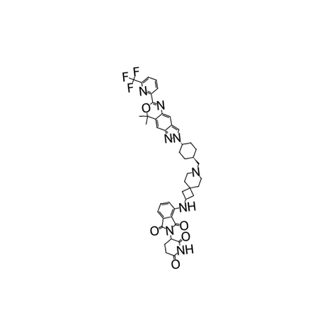 CC1(C)OC(c2cccc(C(F)(F)F)n2)=Nc2cc3cn([C@H]4CC[C@H](CN5CCC6(CC5)CC(Nc5cccc7c5C(=O)N(C5CCC(=O)NC5=O)C7=O)C6)CC4)nc3cc21